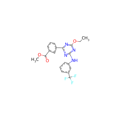 CCOc1nc(Nc2cccc(C(F)(F)F)c2)nc(-c2cccc(C(=O)OC)c2)n1